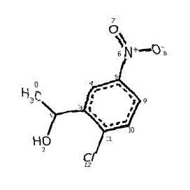 CC(O)c1cc([N+](=O)[O-])ccc1Cl